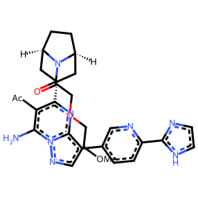 COCCOCC(=O)N1[C@@H]2CC[C@H]1C[C@H](c1nc3c(-c4ccc(-c5ncc[nH]5)nc4)cnn3c(N)c1C(C)=O)C2